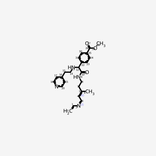 C=C/N=C\C=C(/C)CCNC(=O)C(NCCc1ccncc1)c1ccc(C(=O)OC)cc1